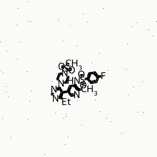 CCc1ncnc(N2CCN(S(C)(=O)=O)CC2)c1-c1cnc(C)c(NS(=O)(=O)c2ccc(F)cc2)c1